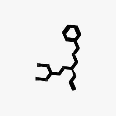 C=CC[C@@H](COCc1ccccc1)OCC(OCC)OCC